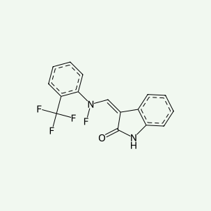 O=C1Nc2ccccc2C1=CN(F)c1ccccc1C(F)(F)F